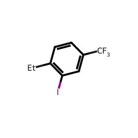 CCc1ccc(C(F)(F)F)cc1I